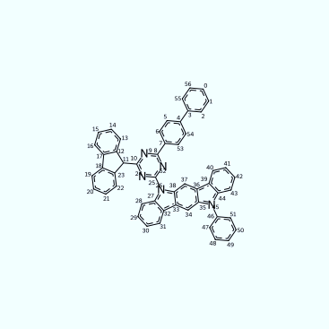 c1ccc(-c2ccc(-c3nc(C4c5ccccc5-c5ccccc54)nc(-n4c5ccccc5c5cc6c(cc54)c4ccccc4n6-c4ccccc4)n3)cc2)cc1